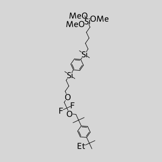 CCC(C)(C)c1ccc(C(C)(C)COC(F)(F)COCCC[Si](C)(C)c2ccc([Si](C)(C)CCCCC[Si](OC)(OC)OC)cc2)cc1